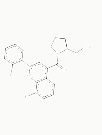 O=C(c1cc(-c2ccccc2F)nc2c(F)cccc12)N1CCCC1CO